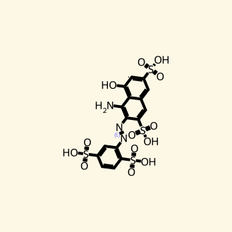 Nc1c(/N=N/c2cc(S(=O)(=O)O)ccc2S(=O)(=O)O)c(S(=O)(=O)O)cc2cc(S(=O)(=O)O)[c]c(O)c12